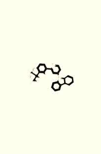 Fc1ccc(-c2cc(N3c4ccccc4C4C=CC=CC43)ccn2)c(F)c1C(F)(C(F)(F)F)C(F)(F)F